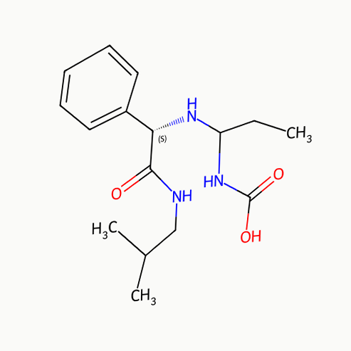 CCC(NC(=O)O)N[C@H](C(=O)NCC(C)C)c1ccccc1